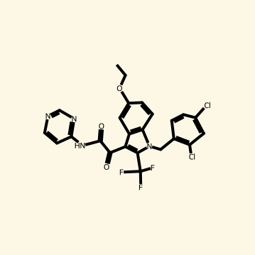 CCOc1ccc2c(c1)c(C(=O)C(=O)Nc1ccncn1)c(C(F)(F)F)n2Cc1ccc(Cl)cc1Cl